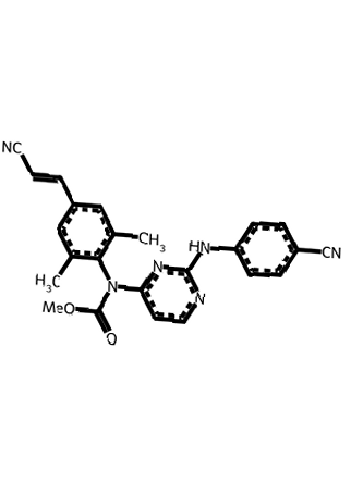 COC(=O)N(c1ccnc(Nc2ccc(C#N)cc2)n1)c1c(C)cc(/C=C/C#N)cc1C